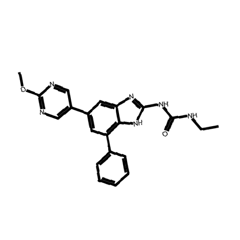 CCNC(=O)Nc1nc2cc(-c3cnc(OC)nc3)cc(-c3ccccc3)c2[nH]1